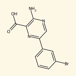 Nc1ncc(-c2cccc(Br)c2)nc1C(=O)O